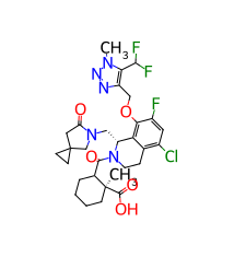 Cn1nnc(COc2c(F)cc(Cl)c3c2[C@@H](CN2CC4(CC4)CC2=O)N(C(=O)C2CCCC[C@]2(C)C(=O)O)CC3)c1C(F)F